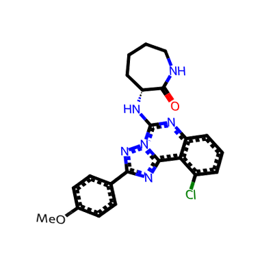 COc1ccc(-c2nc3c4c(Cl)cccc4nc(N[C@@H]4CCCCNC4=O)n3n2)cc1